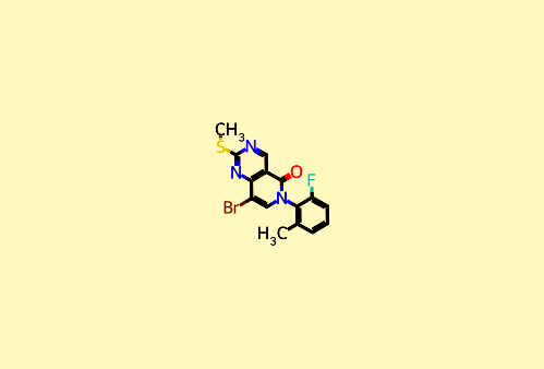 CSc1ncc2c(=O)n(-c3c(C)cccc3F)cc(Br)c2n1